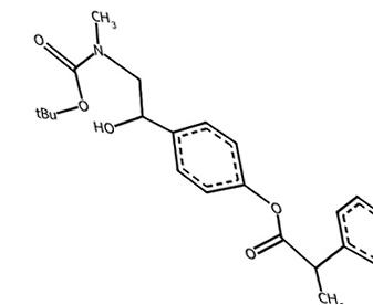 CC(C(=O)Oc1ccc(C(O)CN(C)C(=O)OC(C)(C)C)cc1)c1ccccc1